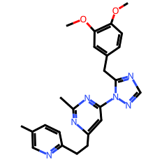 COc1ccc(Cc2ncnn2-c2cc(CCc3ccc(C)cn3)nc(C)n2)cc1OC